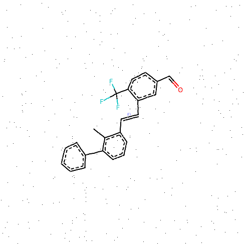 Cc1c(/C=C/c2cc(C=O)ccc2C(F)(F)F)cccc1-c1ccccc1